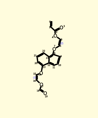 C=CC(=O)O/C=C\Oc1cccc2c(O/C=C\OC=O)cccc12